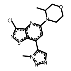 CC1COCCN1c1cc(-c2cnnn2C)c2snc(Cl)c2n1